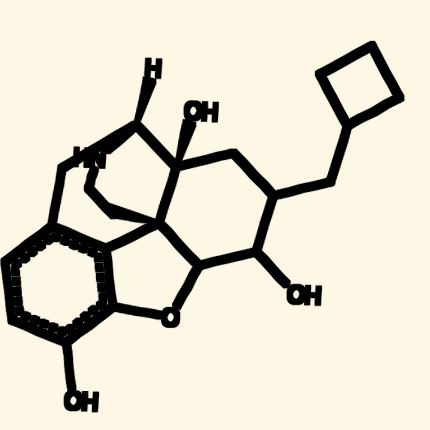 Oc1ccc2c3c1OC1C(O)C(CC4CCC4)C[C@@]4(O)[C@@H](C2)NCC[C@]314